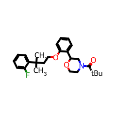 CC(C)(C)C(=O)N1CCOC(c2ccccc2OCCC(C)(C)c2ccccc2F)C1